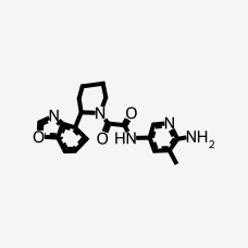 Cc1cc(NC(=O)C(=O)N2CCCCC2c2cccc3ocnc23)cnc1N